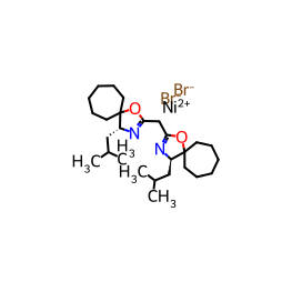 CC(C)C[C@H]1N=C(CC2=N[C@H](CC(C)C)C3(CCCCCC3)O2)OC12CCCCCC2.[Br-].[Br-].[Ni+2]